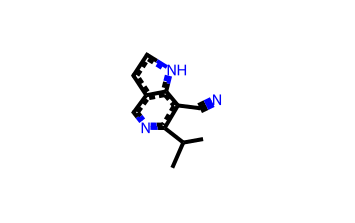 CC(C)c1ncc2cc[nH]c2c1C#N